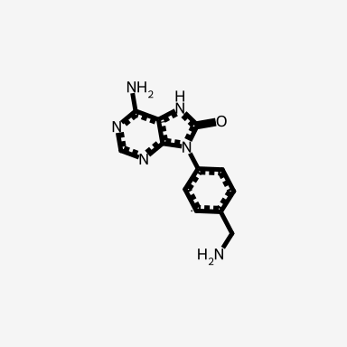 NCc1[c]cc(-n2c(=O)[nH]c3c(N)ncnc32)cc1